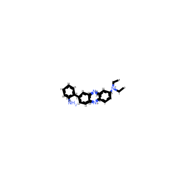 CCN(CC)c1ccc2nc3ccc(-c4ccccc4N)cc3nc2c1